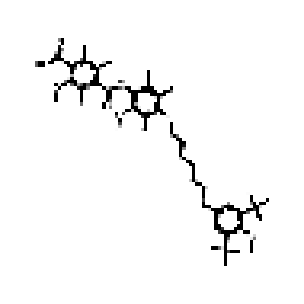 COc1c(C(C)(C)C)cc(SCCCCCCOc2c(C)c(C)c(OC(=O)c3c(C)c(C)c(C(=O)O)c(OC)c3C)c(OC)c2C)cc1C(C)(C)C